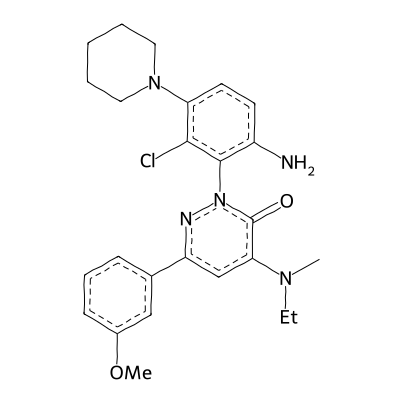 CCN(C)c1cc(-c2cccc(OC)c2)nn(-c2c(N)ccc(N3CCCCC3)c2Cl)c1=O